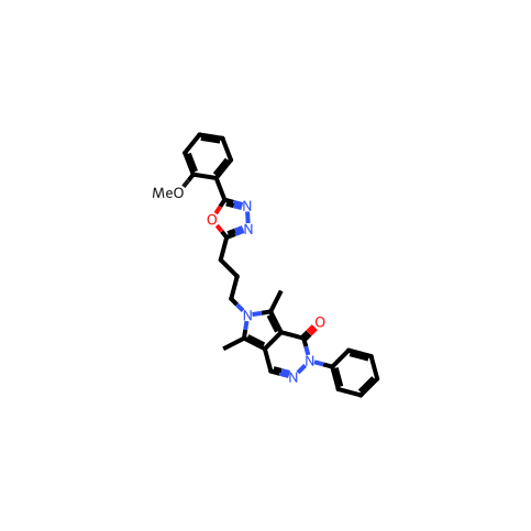 COc1ccccc1-c1nnc(CCCn2c(C)c3cnn(-c4ccccc4)c(=O)c3c2C)o1